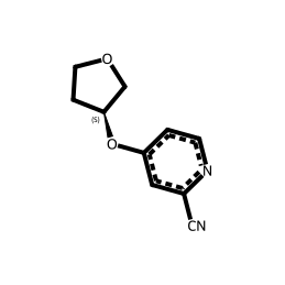 N#Cc1cc(O[C@H]2CCOC2)ccn1